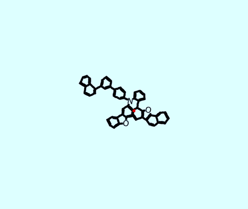 C1=Cc2c(oc3c2ccc2ccccc23)C(c2ccccc2N(c2ccc(-c3cccc(-c4cccc5ccccc45)c3)cc2)c2ccc3oc4ccccc4c3c2)C1